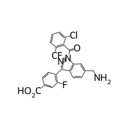 NCc1ccc2c(-c3ccc(C(=O)O)cc3F)nn(C(=O)c3c(Cl)cccc3C(F)(F)F)c2c1